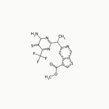 COC(=O)c1csc2cnc(C(C)C3=NC(N)C(=S)C(C(F)(F)F)=N3)cc12